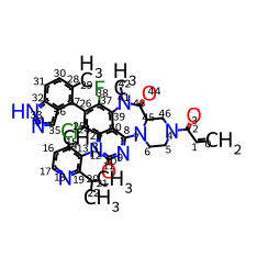 C=CC(=O)N1CCN2c3nc(=O)n(-c4c(C)ccnc4C(C)C)c4c(Cl)c(-c5c(C)ccc6[nH]ncc56)c(F)c(c34)N(C)C(=O)C2C1